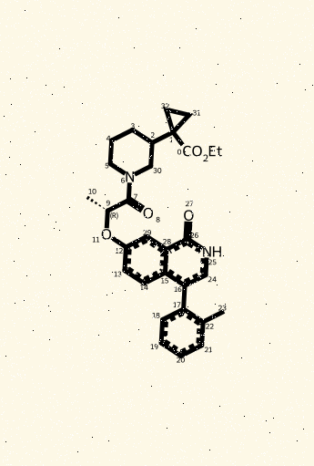 CCOC(=O)C1(C2CCCN(C(=O)[C@@H](C)Oc3ccc4c(-c5ccccc5C)c[nH]c(=O)c4c3)C2)CC1